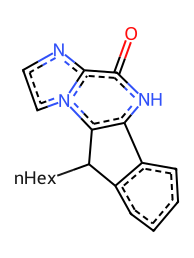 CCCCCCC1c2ccccc2-c2[nH]c(=O)c3nccn3c21